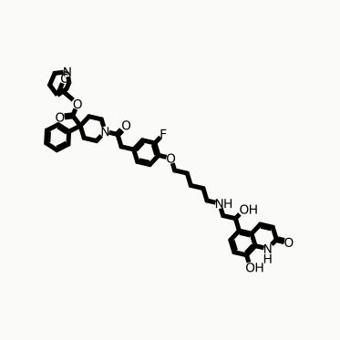 O=C(Cc1ccc(OCCCCCNCC(O)c2ccc(O)c3[nH]c(=O)ccc23)c(F)c1)N1CCC(C(=O)OC2CN3CCC2CC3)(c2ccccc2)CC1